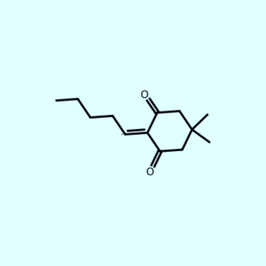 CCCC[C]=C1C(=O)CC(C)(C)CC1=O